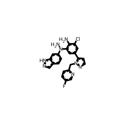 Nc1c(Cl)cc(-c2ccnn2Cc2ccc(F)cn2)cc1N(N)c1ccc2cn[nH]c2c1